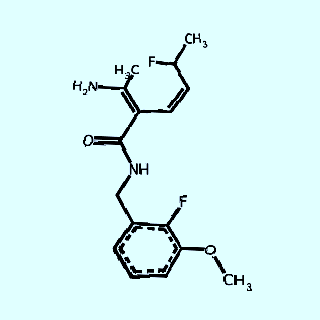 COc1cccc(CNC(=O)C(/C=C\C(C)F)=C(/C)N)c1F